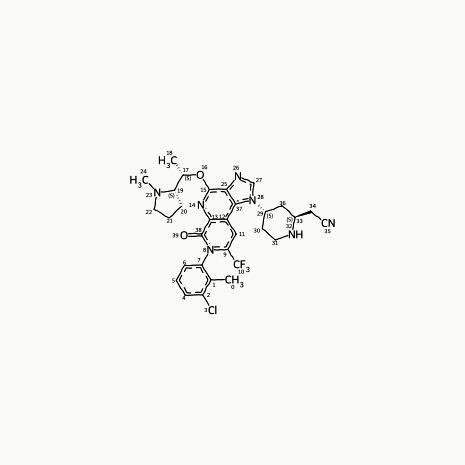 Cc1c(Cl)cccc1-n1c(C(F)(F)F)cc2c(nc(O[C@@H](C)[C@@H]3CCCN3C)c3ncn([C@H]4CCN[C@H](CC#N)C4)c32)c1=O